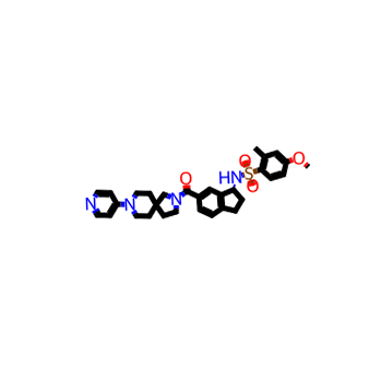 COc1ccc(S(=O)(=O)N[C@@H]2CCc3ccc(C(=O)N4CCC5(CCN(c6ccncc6)CC5)C4)cc32)c(C)c1